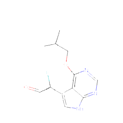 CC(C)COc1ncnc2[nH]cc(C(F)C=O)c12